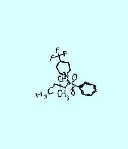 CCC(C)(C)CC(N1CCC(C(F)(F)F)CC1)S(=O)(=O)c1ccccc1